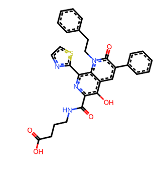 O=C(O)CCCNC(=O)c1nc(-c2nccs2)c2c(cc(-c3ccccc3)c(=O)n2CCc2ccccc2)c1O